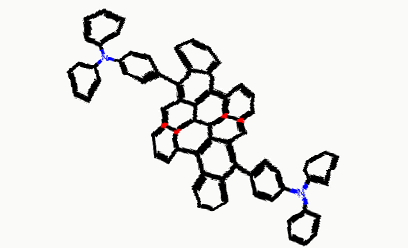 c1ccc(-c2c3ccccc3c(-c3ccc(N(c4ccccc4)c4ccccc4)cc3)c3cccc(-c4cccc5c(-c6ccc(N(c7ccccc7)c7ccccc7)cc6)c6ccccc6c(-c6ccccc6)c45)c23)cc1